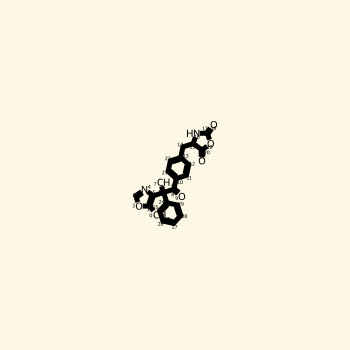 Cc1ocnc1C(C)(C(=O)c1ccc(CC2NC(=O)OC2=O)cc1)c1ccccc1